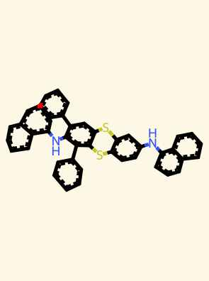 c1ccc(-c2cc3c(c(-c4ccccc4)c2Nc2cccc4ccccc24)Sc2ccc(Nc4cccc5ccccc45)cc2S3)cc1